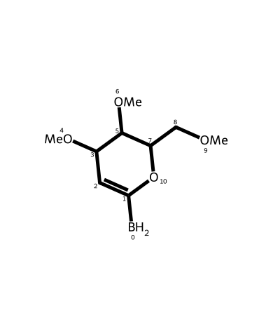 BC1=CC(OC)C(OC)C(COC)O1